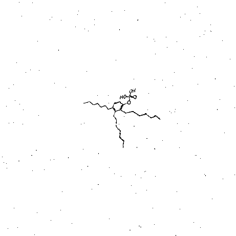 CCCCCCCc1ccc(OP(=O)(O)O)c(CCCCCCC)c1CCCCCCC